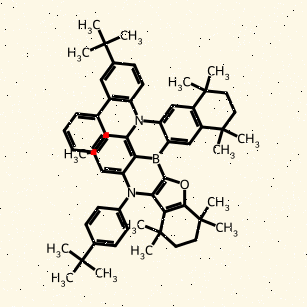 Cc1cc2c3c(c1)N(c1ccc(C(C)(C)C)cc1)c1c(oc4c1C(C)(C)CCC4(C)C)B3c1cc3c(cc1N2c1ccc(C(C)(C)C)cc1-c1ccccc1)C(C)(C)CCC3(C)C